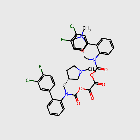 CN1CC[C@@H](CN(C(=O)OC(=O)C(=O)OC(=O)N(C[C@@H]2CCN(C)C2)c2ccccc2-c2ccc(F)c(Cl)c2)c2ccccc2-c2ccc(F)c(Cl)c2)C1